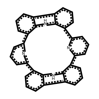 c1cc2nc(c1)c1cccc3c4cccc(c5cccc(n5)c5cccc6c7cccc2c7[nH]c56)c4[nH]c13